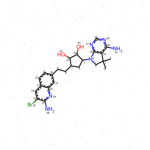 CC1(C)CN(C2CC(CCc3ccc4cc(Br)c(N)nc4c3)C(O)C2O)c2ncnc(N)c21